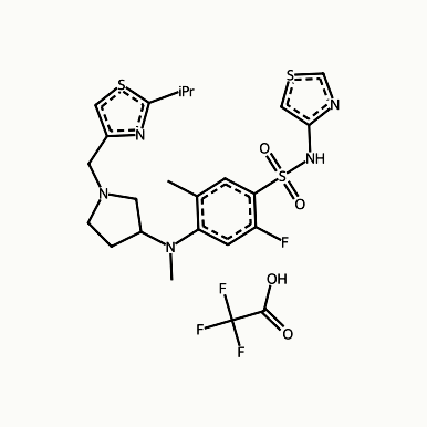 Cc1cc(S(=O)(=O)Nc2cscn2)c(F)cc1N(C)C1CCN(Cc2csc(C(C)C)n2)C1.O=C(O)C(F)(F)F